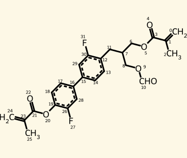 C=C(C)C(=O)OCC(COC=O)Cc1ccc(-c2ccc(OC(=O)C(=C)C)c(F)c2)cc1F